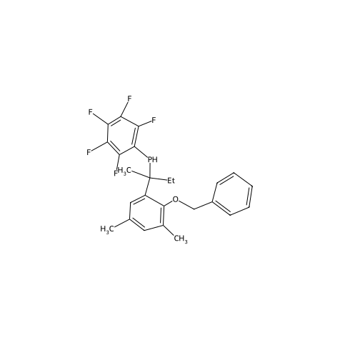 CCC(C)(Pc1c(F)c(F)c(F)c(F)c1F)c1cc(C)cc(C)c1OCc1ccccc1